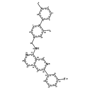 Cc1cccc(-c2ccc(CNc3nccc4cc(-c5cccc(F)c5)ncc34)cc2C)c1